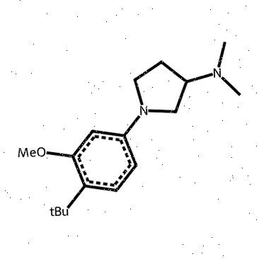 COc1cc(N2CCC(N(C)C)C2)ccc1C(C)(C)C